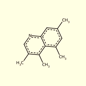 Cc1cc(C)c2c(C)c(C)cnc2c1